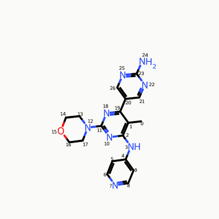 Cc1c(Nc2ccncc2)nc(N2CCOCC2)nc1-c1cnc(N)nc1